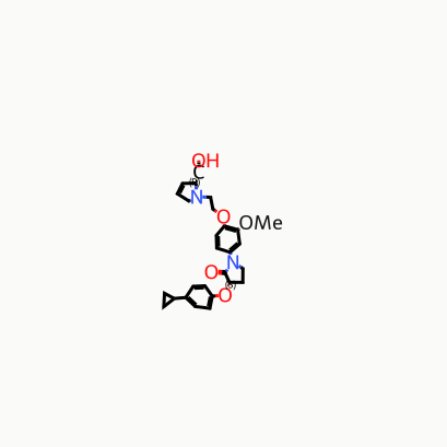 COc1cc(N2CC[C@H](Oc3ccc(C4CC4)cc3)C2=O)ccc1OCCN1CC=C[C@@H]1CO